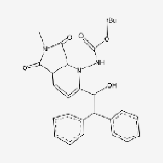 CN1C(=O)C2C=C=C(C(O)C(c3ccccc3)c3ccccc3)N(NC(=O)OC(C)(C)C)C2C1=O